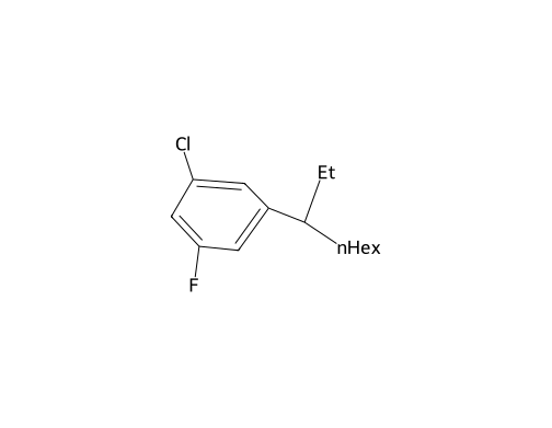 CCCCCCC(CC)c1cc(F)cc(Cl)c1